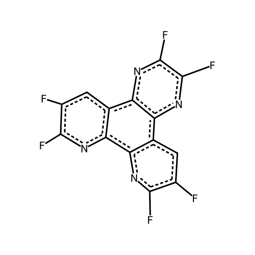 Fc1cc2c(nc1F)c1nc(F)c(F)cc1c1nc(F)c(F)nc21